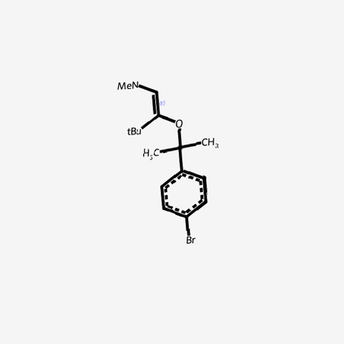 CN/C=C(/OC(C)(C)c1ccc(Br)cc1)C(C)(C)C